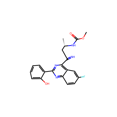 COC(=O)N[C@@H](C)CC(=N)c1nc(-c2ccccc2O)nc2ccc(F)cc12